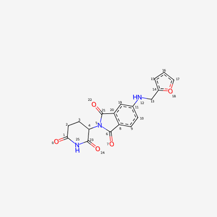 O=C1CCC(N2C(=O)c3ccc(NCc4ccco4)cc3C2=O)C(=O)N1